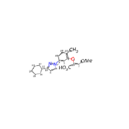 CO/C=C(\Oc1cc(-n2ccc(C3CCCCC3)n2)ccc1C)C(=O)O